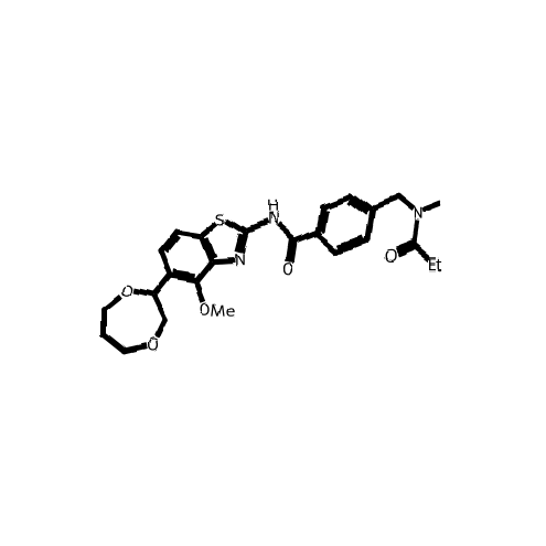 CCC(=O)N(C)Cc1ccc(C(=O)Nc2nc3c(OC)c(C4COCCCO4)ccc3s2)cc1